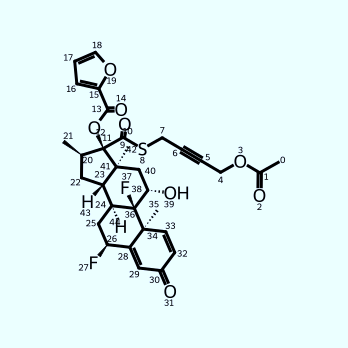 CC(=O)OCC#CCSC(=O)[C@@]1(OC(=O)c2ccco2)[C@H](C)C[C@H]2[C@@H]3C[C@H](F)C4=CC(=O)C=C[C@]4(C)[C@@]3(F)[C@@H](O)C[C@@]21C